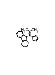 C[C](C)=[Ti]([C]1=CC=CC1)[CH]1C2=C(CCCC2)c2ccccc21